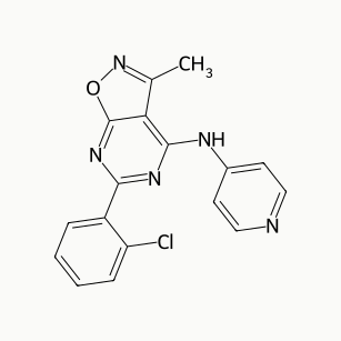 Cc1noc2nc(-c3ccccc3Cl)nc(Nc3ccncc3)c12